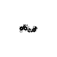 NCC1(c2cccc(Cl)c2)CCC(N2CCN(Cc3ccc4c(c3)OCO4)CC2)CC1